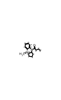 CNC1CCCC1N(C(=O)CCF)c1ccccc1